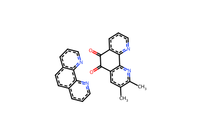 Cc1cc2c(nc1C)-c1ncccc1C(=O)C2=O.c1cnc2c(c1)ccc1cccnc12